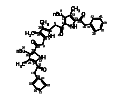 CCCCc1c(C(=O)Cc2[nH]c(CC(=O)c3[nH]c(C(=O)Cc4ccccc4)c(C)c3CCCC)c(C)c2C)[nH]c(C(=O)Cc2ccccc2)c1C